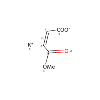 COC(=O)/C=C\C(=O)[O-].[K+]